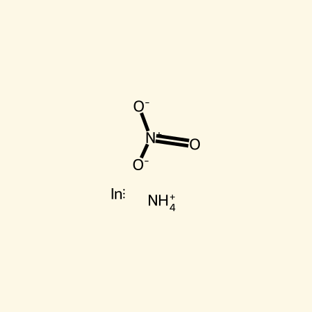 O=[N+]([O-])[O-].[In].[NH4+]